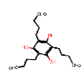 O=CCCCc1c(O)c(CCCC=O)c(O)c(CCCC=O)c1O